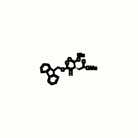 COC(=O)C[C@H](NC(=O)OCC1c2ccccc2-c2ccccc21)C(=O)OC(C)(C)C